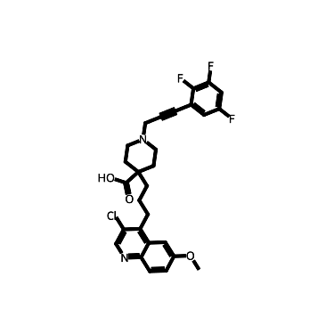 COc1ccc2ncc(Cl)c(CCCC3(C(=O)O)CCN(CC#Cc4cc(F)cc(F)c4F)CC3)c2c1